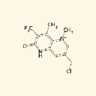 Cc1c(C(F)(F)F)c(=O)[nH]c2cc(CCl)c[n+](C)c12